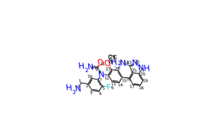 NCc1ccc(F)c(N(C(N)=O)c2ccc(-c3cccc4[nH]nc(N)c34)cc2OC(F)(F)F)c1